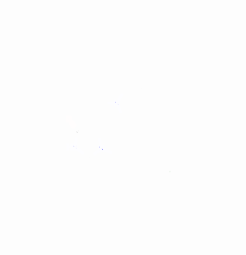 O=C1NCN(c2ccc(Br)cc2)C12CCN(Cc1ccccc1)CC2